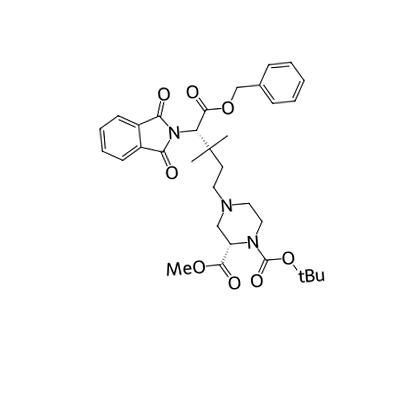 COC(=O)[C@@H]1CN(CCC(C)(C)[C@@H](C(=O)OCc2ccccc2)N2C(=O)c3ccccc3C2=O)CCN1C(=O)OC(C)(C)C